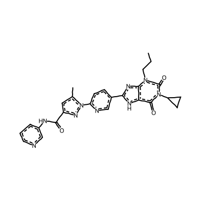 CCCn1c(=O)n(C2CC2)c(=O)c2[nH]c(-c3ccc(-n4nc(C(=O)Nc5cccnc5)cc4C)nc3)nc21